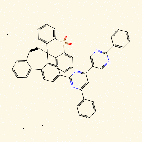 O=S1(=O)c2ccccc2C2(c3ccccc3-c3ccccc3-c3ccc(-c4nc(-c5ccccc5)cc(-c5cnc(-c6ccccc6)nc5)n4)cc32)c2ccccc21